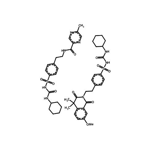 COc1ccc2c(c1)C(=O)N(CCc1ccc(S(=O)(=O)NC(=O)NC3CCCCC3)cc1)C(=O)C2(C)C.Cc1cnc(C(=O)NCCc2ccc(S(=O)(=O)NC(=O)NC3CCCCC3)cc2)cn1